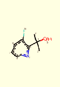 CC(C)(O)c1ncccc1F